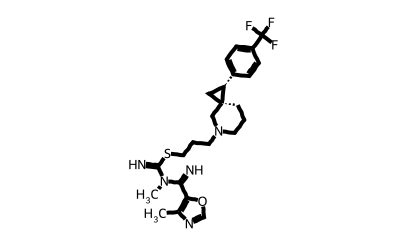 Cc1ncoc1C(=N)N(C)C(=N)SCCCN1CCC[C@@]2(C[C@@H]2c2ccc(C(F)(F)F)cc2)C1